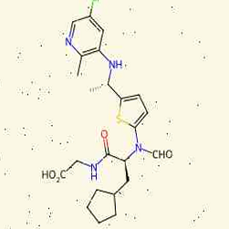 Cc1ncc(Cl)cc1N[C@@H](C)c1ccc(N(C=O)[C@@H](CC2CCCC2)C(=O)NCC(=O)O)s1